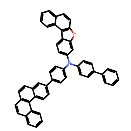 c1ccc(-c2ccc(N(c3ccc(-c4ccc5c(ccc6ccc7ccccc7c65)c4)cc3)c3ccc4c(c3)oc3ccc5ccccc5c34)cc2)cc1